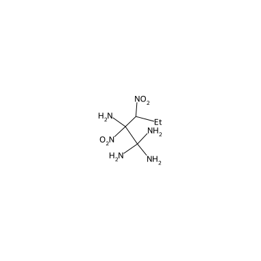 CCC([N+](=O)[O-])C(N)([N+](=O)[O-])C(N)(N)N